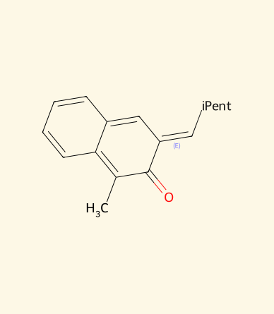 CCCC(C)/C=C1\C=c2ccccc2=C(C)C1=O